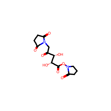 O=C(CN1C(=O)CCC1=O)[C@H](O)[C@@H](O)C(=O)ON1CCCC1=O